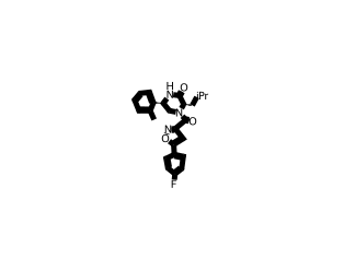 Cc1ccccc1[C@H]1CN(C(=O)c2cc(-c3ccc(F)cc3)on2)[C@@H](CC(C)C)C(=O)N1